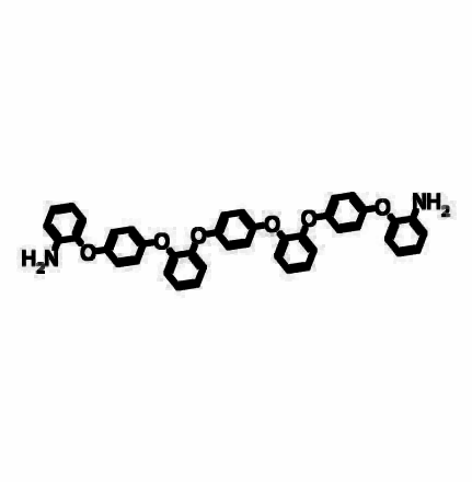 Nc1ccccc1Oc1ccc(Oc2ccccc2Oc2ccc(Oc3ccccc3Oc3ccc(Oc4ccccc4N)cc3)cc2)cc1